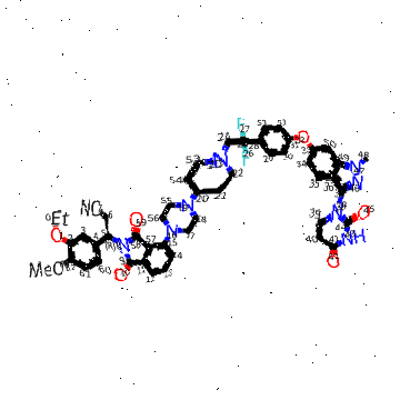 CCOc1cc([C@@H](CC#N)N2C(=O)c3cccc(N4CCN(C5CCN(CC(F)(F)c6ccc(Oc7ccc8c(N9CCC(=O)NC9=O)nn(C)c8c7)cc6)CC5)CC4)c3C2=O)ccc1OC